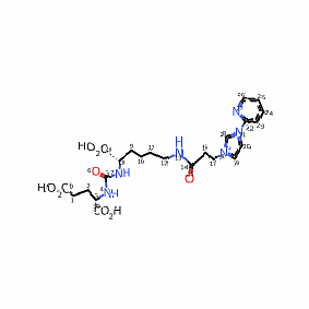 O=C(O)CC[C@H](NC(=O)N[C@@H](CCCCNC(=O)CC[n+]1ccn(-c2ccccn2)c1)C(=O)O)C(=O)O